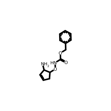 NC1C=CCC1ONC(=O)OCc1ccccc1